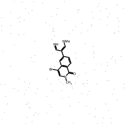 CN/C=C(\C=N)c1ccc2c(=O)n(C)cc(Br)c2c1